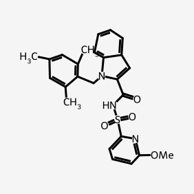 COc1cccc(S(=O)(=O)NC(=O)c2cc3ccccc3n2Cc2c(C)cc(C)cc2C)n1